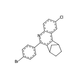 Clc1ccc2nc(-c3ccc(Br)cc3)c3c(c2c1)C1CCC3C1